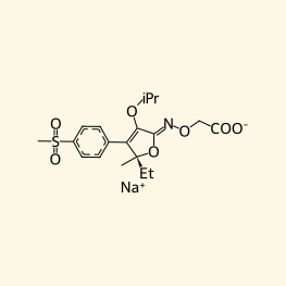 CC[C@]1(C)OC(=NOCC(=O)[O-])C(OC(C)C)=C1c1ccc(S(C)(=O)=O)cc1.[Na+]